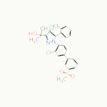 CC(C)(O)c1nn(-c2ccc(-c3cccc(S(C)(=O)=O)c3)cc2Cl)c(-c2ccccc2Cl)c1Cl